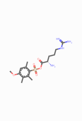 COc1cc(C)c(S(=O)(=O)OC(=O)[C@@H](N)CCCNC(=N)N)c(C)c1C